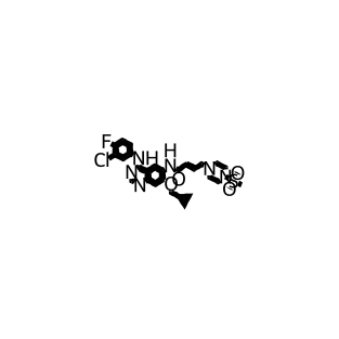 CS(=O)(=O)N1CCN(CC=CC(=O)Nc2cc3c(Nc4ccc(F)c(Cl)c4)ncnc3cc2OCC2CC2)CC1